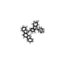 c1ccc2c(c1)sc1c2ccc2c3ccccc3n(-c3ccc4c(c3)c3cnccc3n4-c3ncncn3)c21